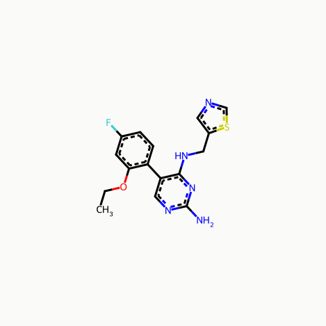 CCOc1cc(F)ccc1-c1cnc(N)nc1NCc1cncs1